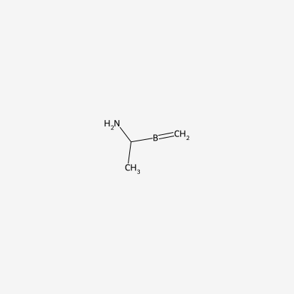 C=BC(C)N